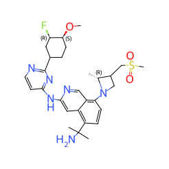 CO[C@H]1CCC(c2nccc(Nc3cc4c(C(C)(C)N)ccc(N5CC(CS(C)(=O)=O)[C@H]5C)c4cn3)n2)C[C@H]1F